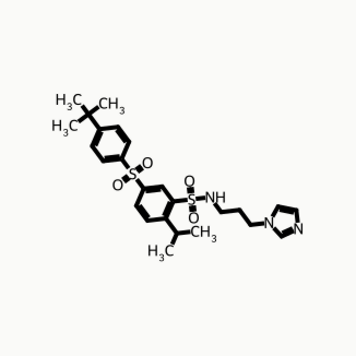 CC(C)c1ccc(S(=O)(=O)c2ccc(C(C)(C)C)cc2)cc1S(=O)(=O)NCCCn1ccnc1